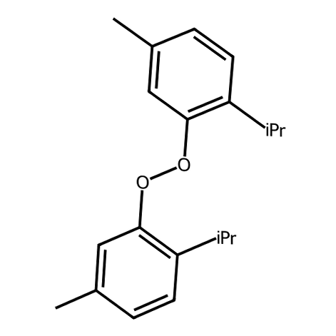 Cc1ccc(C(C)C)c(OOc2cc(C)ccc2C(C)C)c1